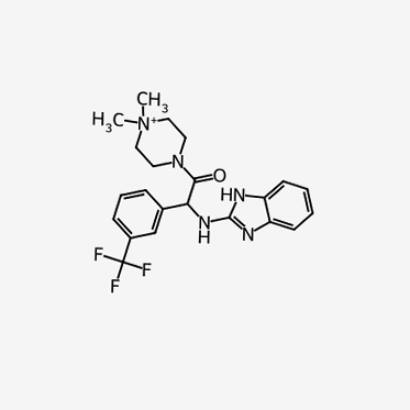 C[N+]1(C)CCN(C(=O)C(Nc2nc3ccccc3[nH]2)c2cccc(C(F)(F)F)c2)CC1